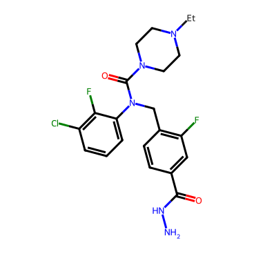 CCN1CCN(C(=O)N(Cc2ccc(C(=O)NN)cc2F)c2cccc(Cl)c2F)CC1